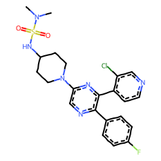 CN(C)S(=O)(=O)NC1CCN(c2cnc(-c3ccc(F)cc3)c(-c3ccncc3Cl)n2)CC1